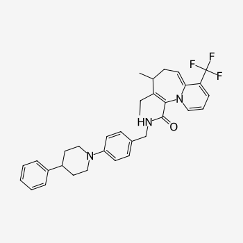 CCC1=C(C(=O)NCc2ccc(N3CCC(c4ccccc4)CC3)cc2)N2C=CC=C(C(F)(F)F)C2=CCC1C